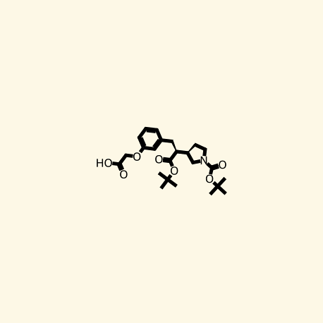 CC(C)(C)OC(=O)[C@@H](Cc1cccc(OCC(=O)O)c1)[C@H]1CCN(C(=O)OC(C)(C)C)C1